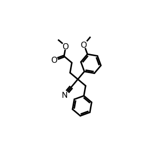 COC(=O)CCC(C#N)(Cc1ccccc1)c1cccc(OC)c1